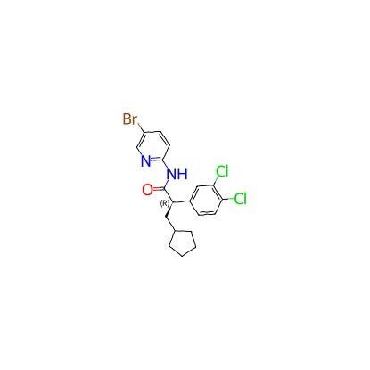 O=C(Nc1ccc(Br)cn1)[C@H](CC1CCCC1)c1ccc(Cl)c(Cl)c1